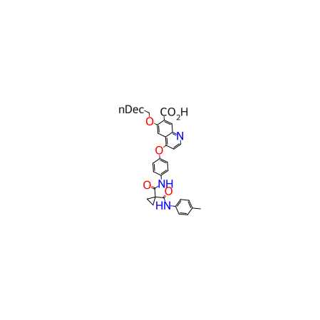 CCCCCCCCCCCOc1cc2c(Oc3ccc(NC(=O)C4(C(=O)Nc5ccc(C)cc5)CC4)cc3)ccnc2cc1C(=O)O